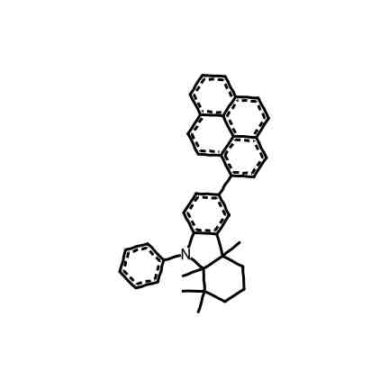 CC1(C)CCCC2(C)c3cc(-c4ccc5ccc6cccc7ccc4c5c67)ccc3N(c3ccccc3)C12C